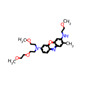 COCCNc1cc2oc3c/c(=[N+](\CCOC)CCOCCOC)ccc-3nc2cc1C